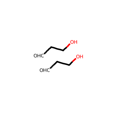 O=CCCO.O=CCCO